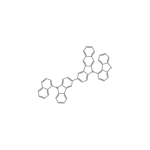 c1ccc2cc3c(cc2c1)c1cc(-c2ccc4c(c2)c2ccccc2n4-c2cccc4ccccc24)ccc1n3-c1cccc2sc3ccccc3c12